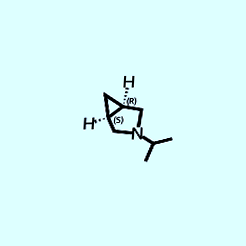 CC(C)N1C[C@H]2C[C@H]2C1